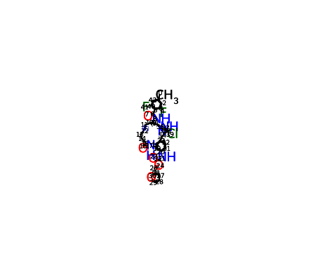 Cc1cc(F)c(C(=O)N[C@H]2C/C=C/CCC(=O)Nc3cc(NC(=O)OC[C@H]4CCCO4)ccc3-c3nc2[nH]c3Cl)c(F)c1